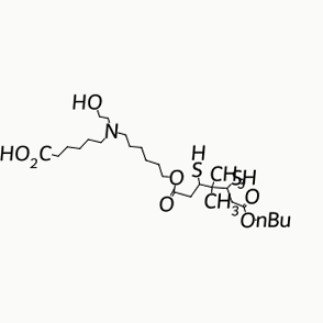 CCCCOC(=O)CC(S)C(C)(C)C(S)CC(=O)OCCCCCCN(CCO)CCCCCC(=O)O